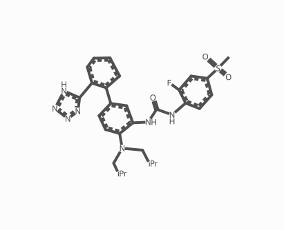 CC(C)CN(CC(C)C)c1ccc(-c2ccccc2-c2nnn[nH]2)cc1NC(=O)Nc1ccc(S(C)(=O)=O)cc1F